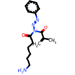 C=C(C)C(=O)N(N=Nc1ccccc1)C(=O)CCCCCN